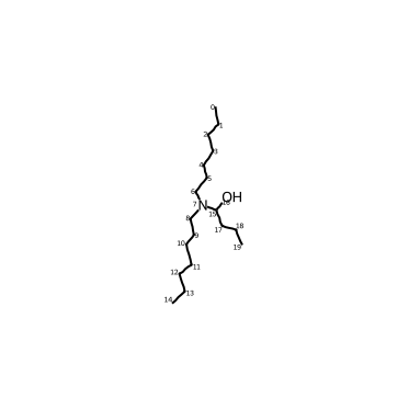 CCCCCCCN(CCCCCCC)C(O)CCC